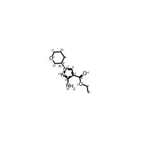 CCOC(=O)c1cn([C@@H]2CCCOC2)nc1N